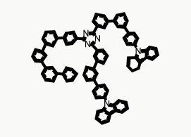 C1=Cc2c(c3ccccc3n2-c2ccc(-c3cccc(-c4cccc(-c5nc(-c6ccc(-c7cccc(-c8cccc(-c9cccc(-c%10ccccc%10)c9)c8)c7)cc6)nc(-c6cccc(-c7cccc(-c8ccc(-n9c%10ccccc%10c%10ccccc%109)cc8)c7)c6)n5)c4)c3)cc2)CC1